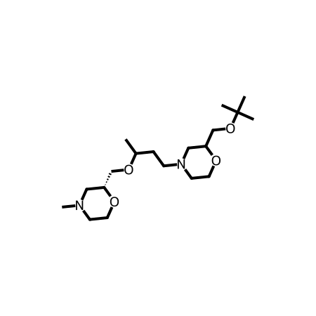 CC(CCN1CCOC(COC(C)(C)C)C1)OC[C@H]1CN(C)CCO1